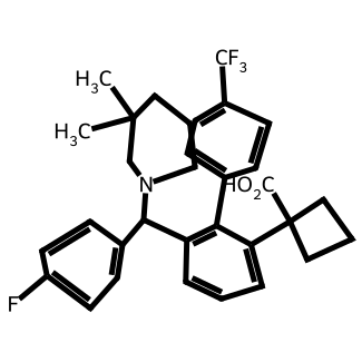 CC1(C)CCCN(C(c2ccc(F)cc2)c2cccc(C3(C(=O)O)CCC3)c2-c2ccc(C(F)(F)F)cc2)C1